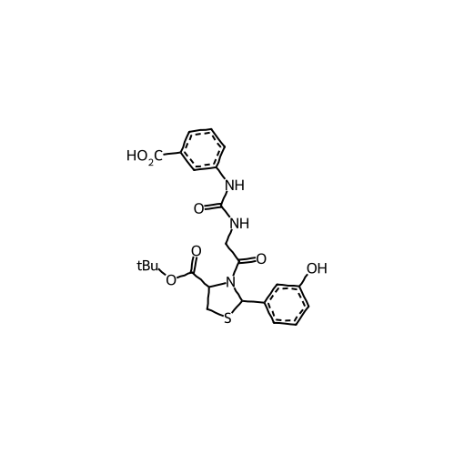 CC(C)(C)OC(=O)C1CSC(c2cccc(O)c2)N1C(=O)CNC(=O)Nc1cccc(C(=O)O)c1